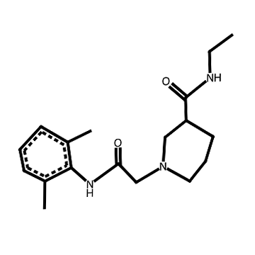 CCNC(=O)C1CCCN(CC(=O)Nc2c(C)cccc2C)C1